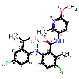 COc1ccc(NC(=O)c2c(Nc3ccc(F)cc3C(C)C)ccc(Cl)c2C)c(C)n1